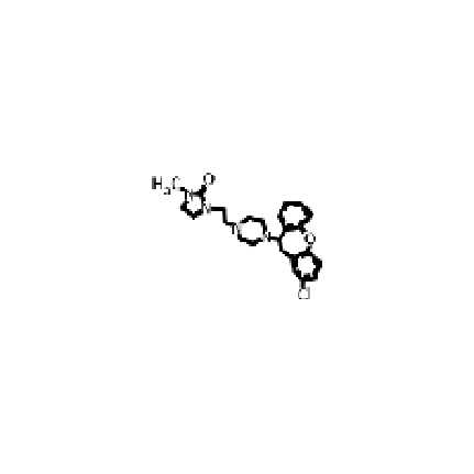 CN1CCN(CCN2CCN(C3Cc4cc(Cl)ccc4Oc4ccccc43)CC2)C1=O